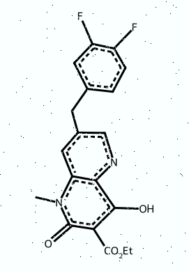 CCOC(=O)c1c(O)c2ncc(Cc3ccc(F)c(F)c3)cc2n(C)c1=O